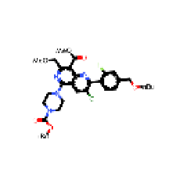 CCCCOCc1ccc(-c2nc3c(C(=O)OC)c(COC)nc(N4CCN(C(=O)OC(C)(C)C)CC4)c3cc2Cl)c(F)c1